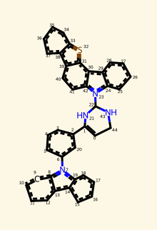 C1=C(c2cccc(-n3c4ccccc4c4ccccc43)c2)NC(n2c3ccccc3c3c4sc5ccccc5c4ccc32)NC1